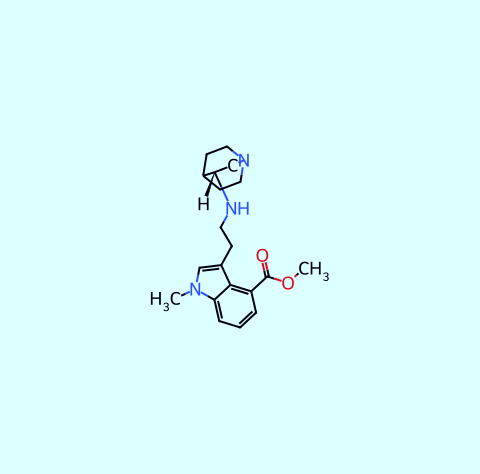 COC(=O)c1cccc2c1c(CCN[C@H]1CN3CCC1CC3)cn2C